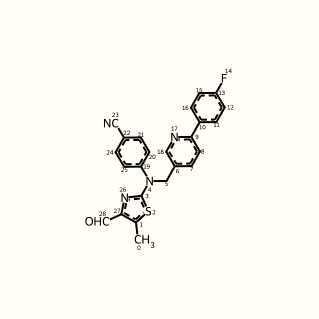 Cc1sc(N(Cc2ccc(-c3ccc(F)cc3)nc2)c2ccc(C#N)cc2)nc1C=O